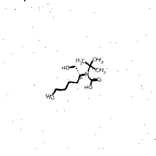 CC(C)(C)N(C(=O)O)[C@@H](CO)CCCCO